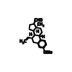 C=C[C@@H]1Cc2cc(OC)ccc2[C@H]2CC[C@]3(C)[C@H](C=O)CC[C@@H]3[C@H]12